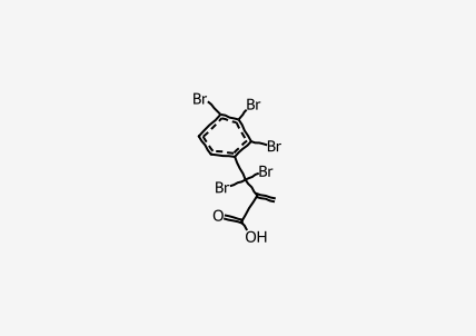 C=C(C(=O)O)C(Br)(Br)c1ccc(Br)c(Br)c1Br